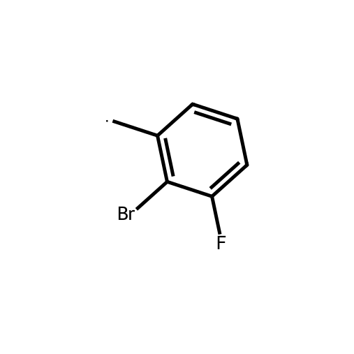 [CH2]c1cccc(F)c1Br